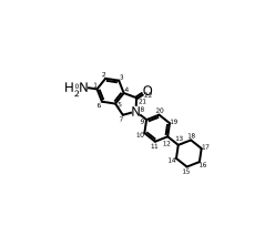 Nc1ccc2c(c1)CN(c1ccc(C3CCCCC3)cc1)C2=O